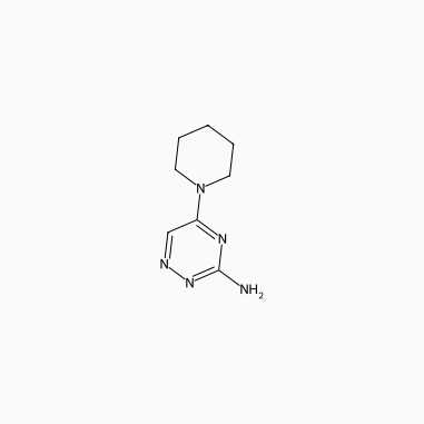 Nc1nncc(N2CCCCC2)n1